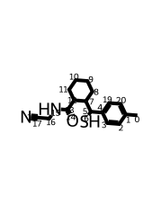 Cc1ccc(C(S)C2CCCCC2C(=O)NCC#N)cc1